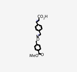 COC(=O)c1ccc(CO/N=C/c2ccc(/C=C/C(=O)O)cc2)cc1